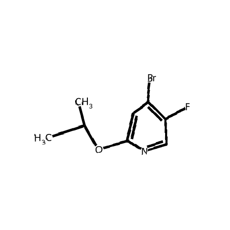 CC(C)Oc1cc(Br)c(F)cn1